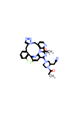 C=CC(=O)N1CCN(c2nc(=O)n3c4nc(c(F)cc24)-c2c(F)cccc2Cc2cnnn2Cc2ccnc(C(C)C)c2-3)CC1CC#N